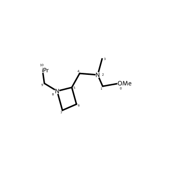 COCN(C)CC1CCN1CC(C)C